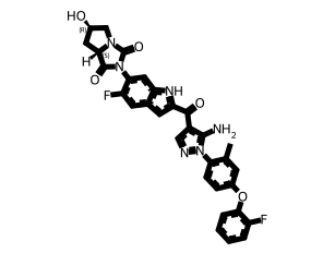 Cc1cc(Oc2ccccc2F)ccc1-n1ncc(C(=O)c2cc3cc(F)c(N4C(=O)[C@@H]5C[C@@H](O)CN5C4=O)cc3[nH]2)c1N